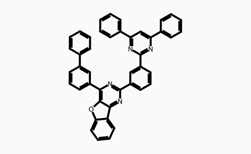 c1ccc(-c2cccc(-c3nc(-c4cccc(-c5nc(-c6ccccc6)cc(-c6ccccc6)n5)c4)nc4c3oc3ccccc34)c2)cc1